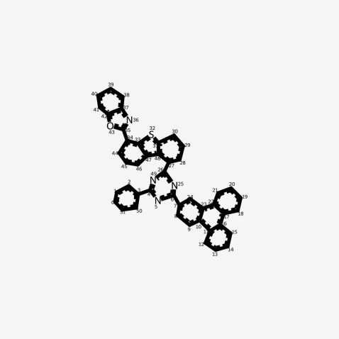 c1ccc(-c2nc(-c3ccc4c5ccccc5c5ccccc5c4c3)nc(-c3cccc4sc5c(-c6nc7ccccc7o6)cccc5c34)n2)cc1